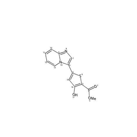 COC(=O)c1sc(-c2cnc3ccccn23)cc1O